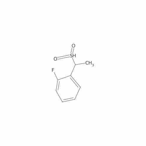 CC(c1ccccc1F)[SH](=O)=O